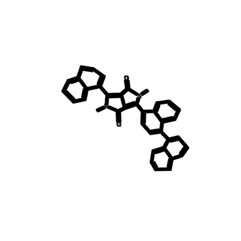 CN1C(=O)C2=C(c3ccc(-c4cccc5ccccc45)c4ccccc34)N(C)C(=O)C2=C1c1cccc2ccccc12